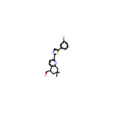 CC1(C)Cc2nc(-c3ncc(-c4cccc(Cl)c4)s3)ccc2C(C=O)C1